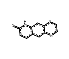 O=c1ccc2cc3nccnc3cc2[nH]1